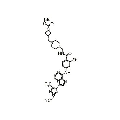 CCc1cc(Nc2nccn3c(-c4cn(CC#N)nc4C(F)(F)F)cnc23)ccc1C(=O)NCC1CCN(CC2CN(C(=O)OC(C)(C)C)C2)CC1